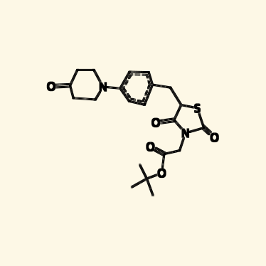 CC(C)(C)OC(=O)CN1C(=O)SC(Cc2ccc(N3CCC(=O)CC3)cc2)C1=O